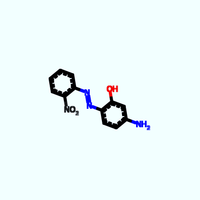 Nc1ccc(N=Nc2ccccc2[N+](=O)[O-])c(O)c1